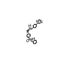 O=C(NCc1ccccc1)c1ccc([C@@H]2C[C@H]2NCc2ccc(-c3cnccn3)cc2)cc1